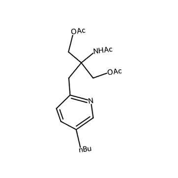 CCCCc1ccc(CC(COC(C)=O)(COC(C)=O)NC(C)=O)nc1